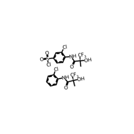 C[C@@](O)(C(=O)Nc1ccc(S(=O)(=O)Cl)cc1Cl)C(F)(F)F.C[C@@](O)(C(=O)Nc1ccccc1Cl)C(F)(F)F